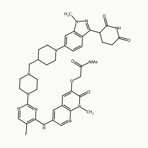 CNC(=O)COc1cc2cc(Nc3nc(N4CCN(CC5CCN(c6ccc7c(C8CCC(=O)NC8=O)nn(C)c7c6)CC5)CC4)ncc3F)cnc2n(C)c1=O